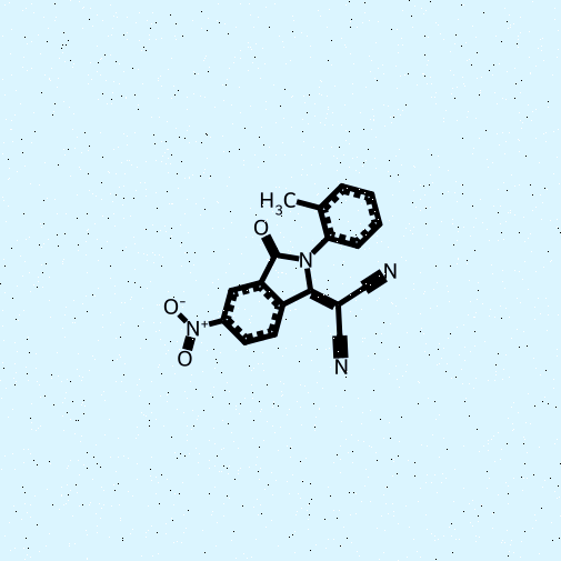 Cc1ccccc1N1C(=O)c2cc([N+](=O)[O-])ccc2C1=C(C#N)C#N